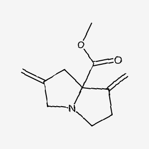 C=C1CN2CCC(=C)C2(C(=O)OC)C1